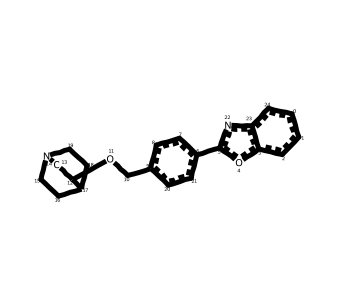 c1ccc2oc(-c3ccc(COC4CN5CCC4CC5)cc3)nc2c1